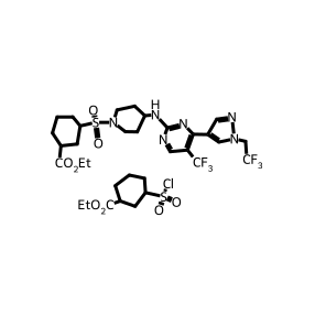 CCOC(=O)C1CCCC(S(=O)(=O)Cl)C1.CCOC(=O)C1CCCC(S(=O)(=O)N2CCC(Nc3ncc(C(F)(F)F)c(-c4cnn(CC(F)(F)F)c4)n3)CC2)C1